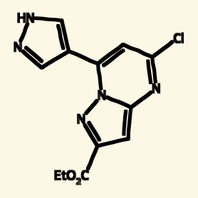 CCOC(=O)c1cc2nc(Cl)cc(-c3cn[nH]c3)n2n1